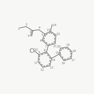 C=C(CC)Cc1cc(-c2c(Cl)cccc2-c2ccccc2)ccc1C